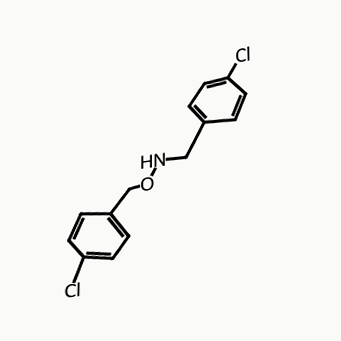 Clc1ccc(CNOCc2ccc(Cl)cc2)cc1